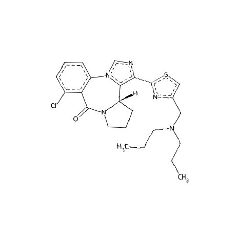 CCCN(CCC)Cc1csc(-c2ncn3c2[C@@H]2CCCN2C(=O)c2c(Cl)cccc2-3)n1